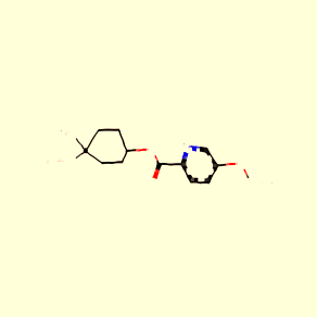 CCCCCCCC1(C#N)CCC(OC(=O)c2ccc(OCCCCCC)cn2)CC1